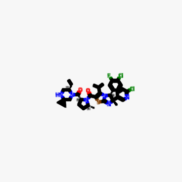 CC[C@H]1CNC2(CC2)CN1C(=O)[C@H]1CC[C@@H](C)N1C(=O)C1=C(C(C)C)N2C(=N[C@@](C)(c3ccc(Cl)nc3)[C@H]2c2ccc(Cl)c(F)c2)S1